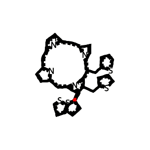 C1=Cc2cc3c(Cc4cccs4)c(Cc4cccs4)c(c(Cc4cccs4)c4nc(cc5ccc(cc1n2)[nH]5)C=C4)n3Cc1cccs1